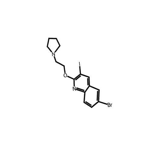 Brc1ccc2nc(OCCN3CCCC3)c(I)cc2c1